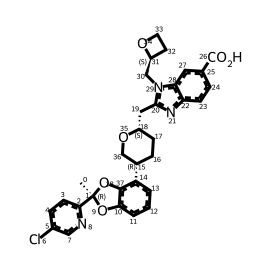 C[C@@]1(c2ccc(Cl)cn2)Oc2cccc([C@H]3CC[C@@H](Cc4nc5ccc(C(=O)O)cc5n4C[C@@H]4CCO4)OC3)c2O1